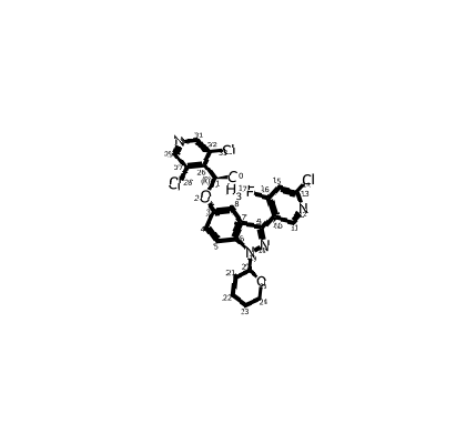 C[C@@H](Oc1ccc2c(c1)c(-c1cnc(Cl)cc1F)nn2C1CCCCO1)c1c(Cl)cncc1Cl